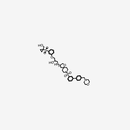 O=S(=O)(c1cccc(-c2ccc(CN3CCOCC3)cc2)c1)N1CCC2(CC1)C[C@@H](NC[C@H](O)COc1cccc(S(=O)(=O)C3(CO)CC3)c1)CO2